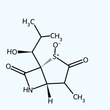 CC(C)[C@H](O)[C@]12C(=O)N[C@H]1C(C)C(=O)[S+]2[O-]